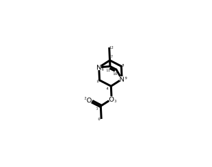 CC(=O)OC1CN2CCN1C=C2C